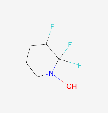 ON1CCCC(F)C1(F)F